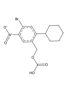 O=C(O)OCc1cc([N+](=O)[O-])c(Br)cc1C1CCCCC1